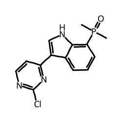 CP(C)(=O)c1cccc2c(-c3ccnc(Cl)n3)c[nH]c12